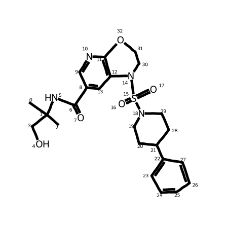 CC(C)(CO)NC(=O)c1cnc2c(c1)N(S(=O)(=O)N1CCC(c3ccccc3)CC1)CCO2